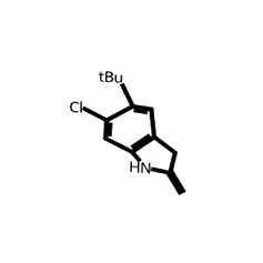 C=C1Cc2cc(C(C)(C)C)c(Cl)cc2N1